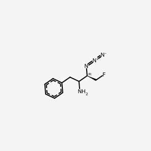 [N-]=[N+]=N[C@@H](CF)C(N)Cc1ccccc1